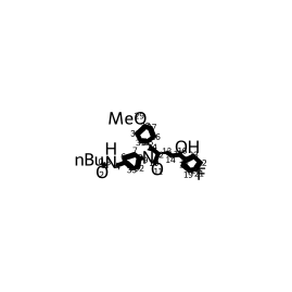 CCCCC(=O)NCc1ccc(N2C(=O)[C@H](CC[C@H](O)c3ccc(F)cc3)[C@H]2c2ccc(OC)cc2)cc1